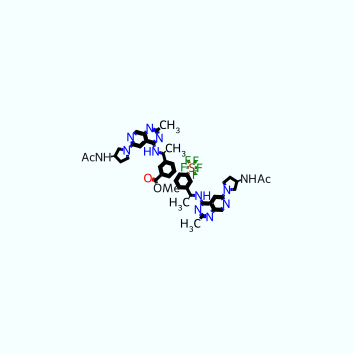 CC(=O)N[C@@H]1CCN(c2cc3c(N[C@H](C)c4cccc(S(F)(F)(F)(F)F)c4)nc(C)nc3cn2)C1.COC(=O)c1cccc([C@@H](C)Nc2nc(C)nc3cnc(N4CC[C@@H](NC(C)=O)C4)cc23)c1